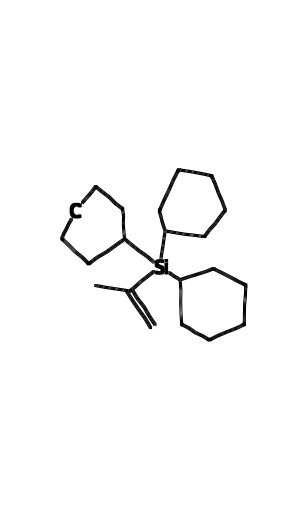 C=C(C)[Si](C1CCCCC1)(C1CCCCC1)C1CCCCC1